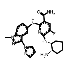 Cn1nc(-n2cccn2)c2cc(Nc3nc(N[C@@H]4CCCC[C@@H]4N)c(F)cc3C(N)=O)ccc21